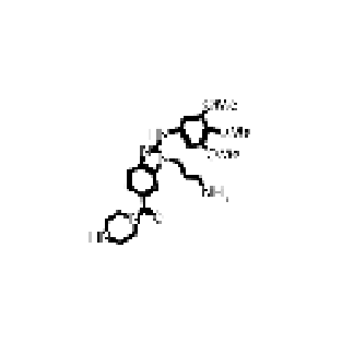 COc1cc(Nc2nc3ccc(C(=O)N4CCNCC4)cc3n2CCCN)cc(OC)c1OC